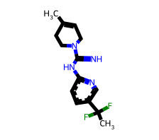 CC1=CCN(C(=N)Nc2ccc(C(C)(F)F)cn2)CC1